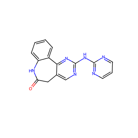 O=C1Cc2cnc(Nc3ncccn3)nc2-c2ccccc2N1